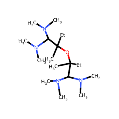 CCC(C)(OC(C)(CC)C(N(C)C)N(C)C)C(N(C)C)N(C)C